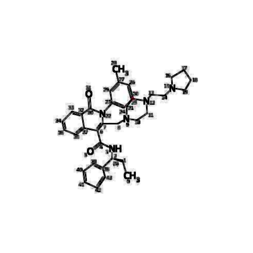 CC[C@H](NC(=O)c1c(CN2CCN(CCN3CCCC3)CC2)n(-c2cccc(C)c2)c(=O)c2ccccc12)c1ccccc1